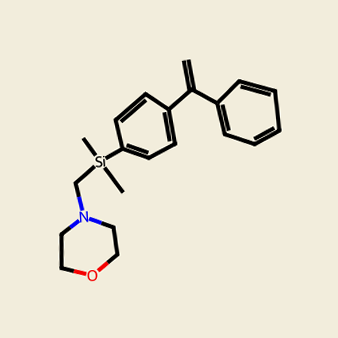 C=C(c1ccccc1)c1ccc([Si](C)(C)CN2CCOCC2)cc1